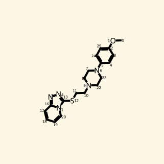 COc1ccc(N2CCN(CCSc3nnc4ccccn34)CC2)cc1